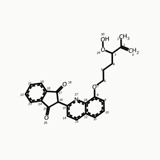 C=C(C)C(CCCOc1cccc2ccc(C3C(=O)c4ccccc4C3=O)nc12)OO